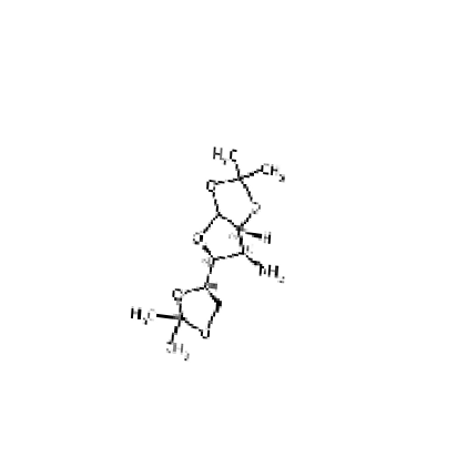 CC1(C)OC[C@H]([C@H]2OC3OC(C)(C)O[C@@H]3[C@H]2N)O1